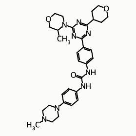 CC1COCCN1c1nc(-c2ccc(NC(=O)Nc3ccc(N4CCN(C)CC4)cc3)cc2)nc(C2CCOCC2)n1